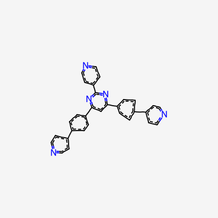 c1cc(-c2ccc(-c3cc(-c4ccc(-c5ccncc5)cc4)nc(-c4ccncc4)n3)cc2)ccn1